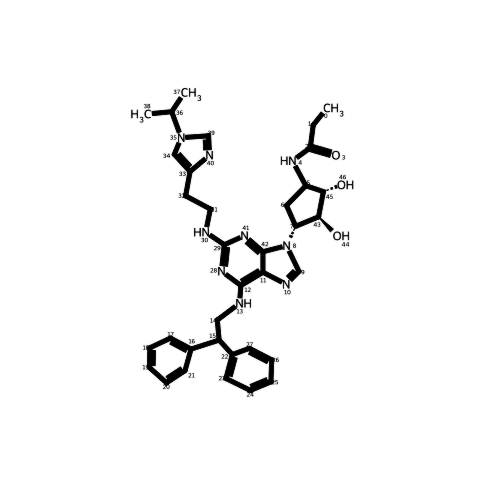 CCC(=O)NC1C[C@@H](n2cnc3c(NCC(c4ccccc4)c4ccccc4)nc(NCCc4cn(C(C)C)cn4)nc32)[C@H](O)[C@H]1O